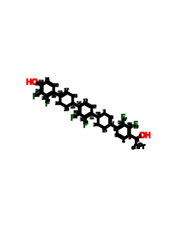 CCCC(O)c1ccc(C2=CCC(c3ccc(C4CC=C(c5ccc(O)c(F)c5F)CC4)c(F)c3F)CC2)c(F)c1F